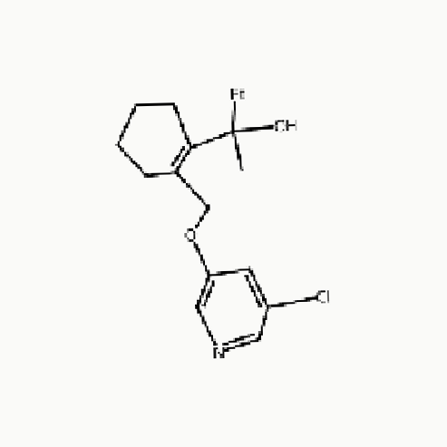 CCC(C)(O)C1=C(COc2cncc(Cl)c2)CCCC1